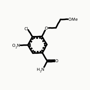 COCCOc1cc(C(N)=O)cc([N+](=O)[O-])c1Cl